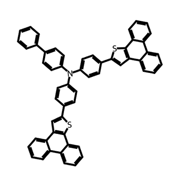 c1ccc(-c2ccc(N(c3ccc(-c4cc5c6ccccc6c6ccccc6c5s4)cc3)c3ccc(-c4cc5c6ccccc6c6ccccc6c5s4)cc3)cc2)cc1